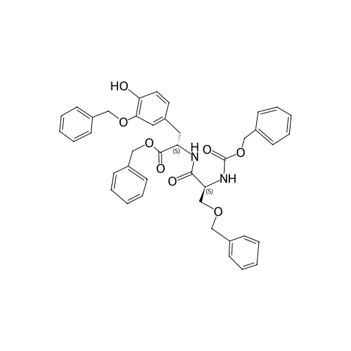 O=C(N[C@@H](COCc1ccccc1)C(=O)N[C@@H](Cc1ccc(O)c(OCc2ccccc2)c1)C(=O)OCc1ccccc1)OCc1ccccc1